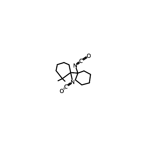 CC1(C)CCCCC1(N=C=O)C1(N=C=O)CCCCC1